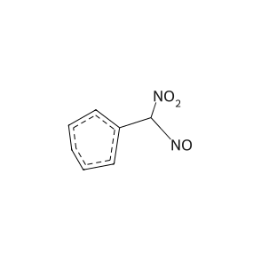 O=NC(c1ccccc1)[N+](=O)[O-]